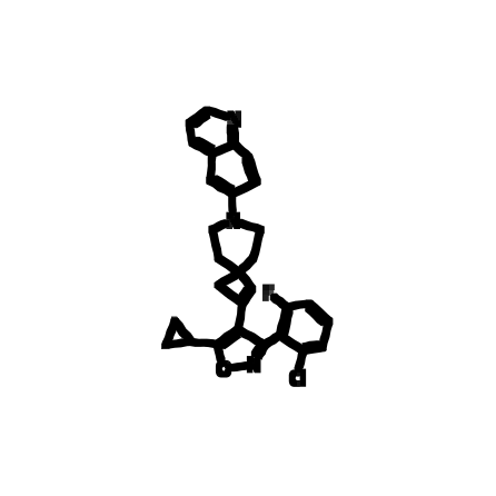 Fc1cccc(Cl)c1-c1noc(C2CC2)c1C1=CC2(CCN(c3ccc4ncccc4c3)CC2)C1